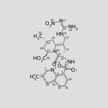 Cc1cnc2c(S(=O)(=O)N[C@@H](CCCN/C(N)=N\[N+](=O)[O-])C(=O)N3CC[C@@H](C)C[C@@H]3C(=O)O)cccc2c1